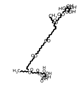 CCCCCC[C@H](C/C=C\CCCCCCCC(=O)OCCCCCCCCCCOC(=O)CCCCCCC/C=C\C[C@@H](CCCCCC)OC(=O)CCCC(=O)OCC1O[C@@H](NC=O)C(O)C(O)[C@H]1O)OC(=O)CCCC(=O)OCC1O[C@@H](O)C(O)C(O)[C@H]1O